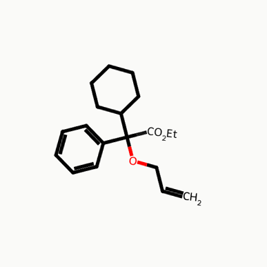 C=CCOC(C(=O)OCC)(c1ccccc1)C1CCCCC1